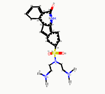 CCN(CC)CCN(CCN(CC)CC)S(=O)(=O)c1ccc2c(c1)=Cc1c3c(c(=O)[nH]c1=2)=CC=CC3